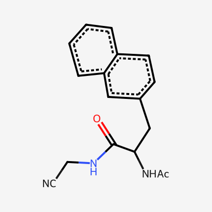 CC(=O)NC(Cc1ccc2ccccc2c1)C(=O)NCC#N